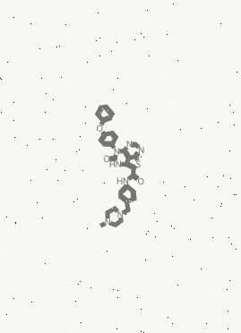 CN1CCN(Cc2ccc(NC(=O)c3sc4ncnc5c4c3NC(=O)N5c3ccc(Oc4ccccc4)cc3)cc2)CC1